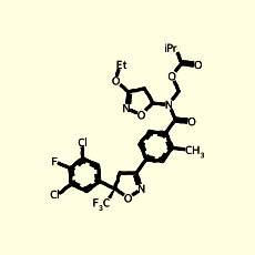 CCOC1=NOC(N(COC(=O)C(C)C)C(=O)c2ccc(C3=NO[C@@](c4cc(Cl)c(F)c(Cl)c4)(C(F)(F)F)C3)cc2C)C1